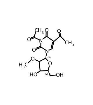 COC1C(O)[C@H](CO)O[C@@H]1n1cc(C(C)=O)c(=O)n(C(C)=O)c1=O